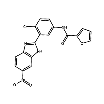 O=C(Nc1ccc(Cl)c(-c2nc3ccc([N+](=O)[O-])cc3[nH]2)c1)c1ccco1